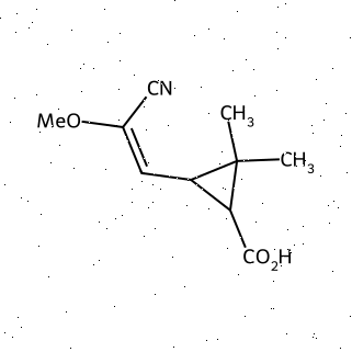 CO/C(C#N)=C/C1C(C(=O)O)C1(C)C